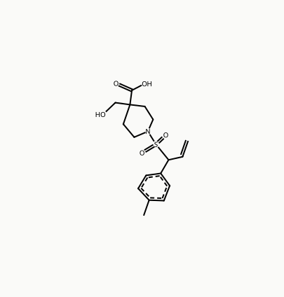 C=CC(c1ccc(C)cc1)S(=O)(=O)N1CCC(CO)(C(=O)O)CC1